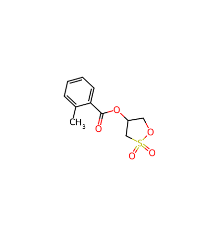 Cc1ccccc1C(=O)OC1COS(=O)(=O)C1